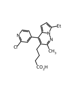 CCc1ccc2c(-c3ccnc(Cl)c3)c(CCCC(=O)O)c(C)nn12